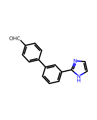 O=Cc1ccc(-c2cccc(-c3ncc[nH]3)c2)cc1